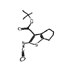 CC(C)(C)OC(=O)c1c(N=C=O)sc2c1CCC2